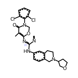 C=N/C(=N\C1=C(C)C(=O)N(c2c(Cl)cccc2Cl)CO1)Nc1ccc2c(c1)CCN(C1CCOC1)C2